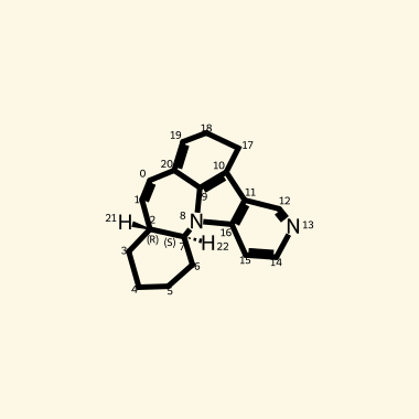 C1=C[C@H]2CCCC[C@@H]2n2c3c(c4cnccc42)CCC=C13